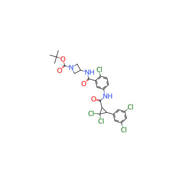 CC(C)(C)OC(=O)N1CC(NC(=O)c2cc(NC(=O)C3C(c4cc(Cl)cc(Cl)c4)C3(Cl)Cl)ccc2Cl)C1